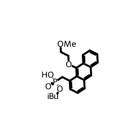 CCC(C)OP(=O)(O)Cc1cccc2cc3ccccc3c(OCCOC)c12